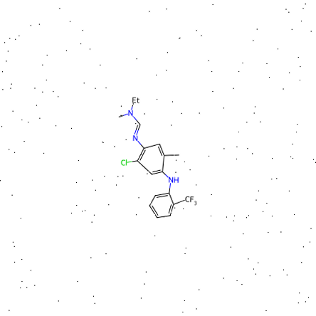 CCN(C)C=Nc1cc(C)c(Nc2ccccc2C(F)(F)F)cc1Cl